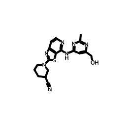 Cc1nc(CO)cc(Nc2nccc3nc(N4CCCC(C#N)C4)sc23)n1